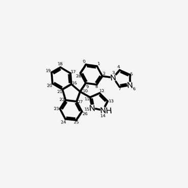 c1cc(-n2ccnc2)cc(C2(c3cc[nH]n3)c3ccccc3-c3ccccc32)c1